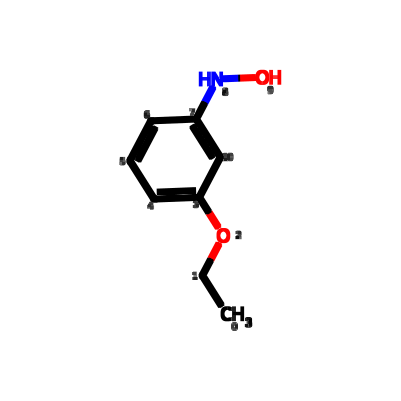 CCOc1cccc(NO)c1